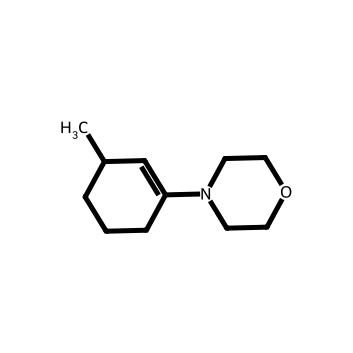 CC1C=C(N2CCOCC2)CCC1